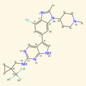 Cc1nc2c(F)cc(-c3c[nH]c4nc(NCC5(C(F)(F)F)CC5)ncc34)cc2n1C1CCN(C)CC1